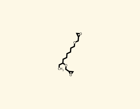 CCC(CCCCCCOCC1CO1)OCC1CO1